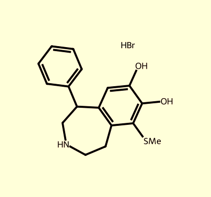 Br.CSc1c(O)c(O)cc2c1CCNCC2c1ccccc1